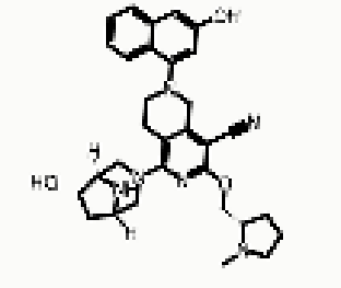 CN1CCC[C@H]1COc1nc(N2C[C@@H]3CC[C@@H](C2)N3)c2c(c1C#N)CN(c1cc(O)cc3ccccc13)CC2.Cl